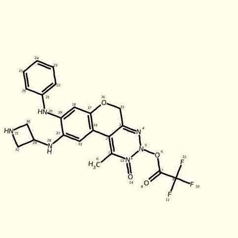 Cc1c2c(nn(OC(=O)C(F)(F)F)[n+]1=O)COc1cc(Nc3ccccc3)c(NC3CNC3)cc1-2